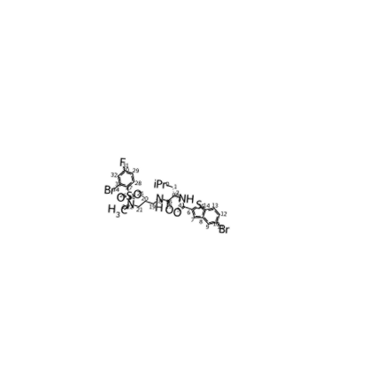 CC(C)C[C@H](NC(=O)c1cc2cc(Br)ccc2s1)C(=O)NCCCN(C)S(=O)(=O)c1ccc(F)cc1Br